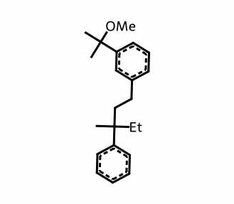 CCC(C)(CCc1cccc(C(C)(C)OC)c1)c1ccccc1